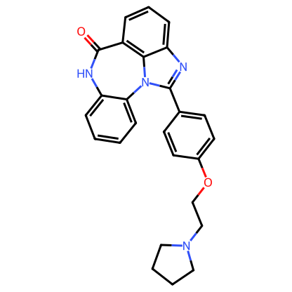 O=C1Nc2ccccc2-n2c(-c3ccc(OCCN4CCCC4)cc3)nc3cccc1c32